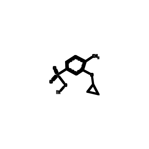 CCOS(=O)(=O)c1ccc(C)c(OC2CC2)c1